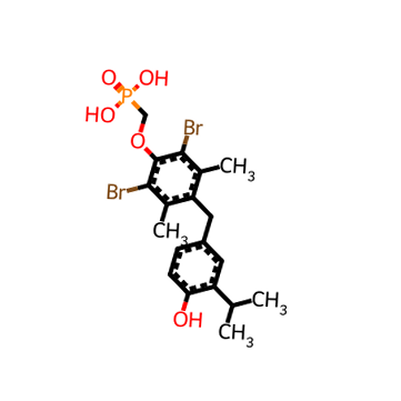 Cc1c(Br)c(OCP(=O)(O)O)c(Br)c(C)c1Cc1ccc(O)c(C(C)C)c1